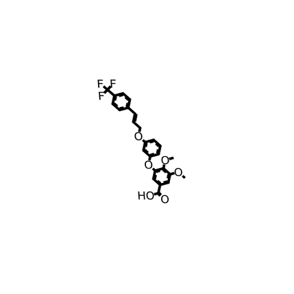 COc1cc(C(=O)O)cc(Oc2cccc(OCC=Cc3ccc(C(F)(F)F)cc3)c2)c1OC